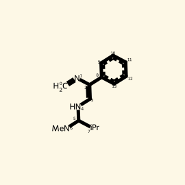 C=N/C(=C\NC(NC)C(C)C)c1ccccc1